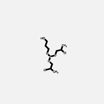 CC(Cl)COP(OCCCO)OCC(C)Cl